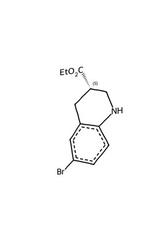 CCOC(=O)[C@@H]1CNc2ccc(Br)cc2C1